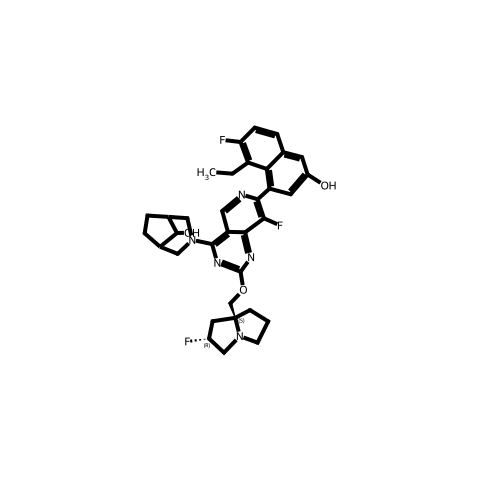 CCc1c(F)ccc2cc(O)cc(-c3ncc4c(N5CC6CCC(C5)C6O)nc(OC[C@@]56CCCN5C[C@H](F)C6)nc4c3F)c12